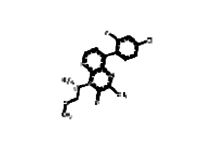 COC[C@H](C)n1c(=O)c(C)nc2c(-c3ccc(Cl)cc3Cl)ccnc21